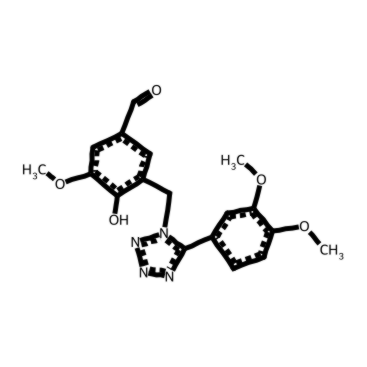 COc1ccc(-c2nnnn2Cc2cc(C=O)cc(OC)c2O)cc1OC